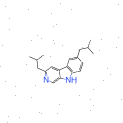 CC(C)Cc1ccc2[nH]c3cnc(CC(C)C)cc3c2c1